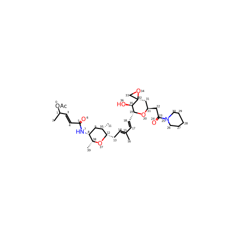 CC(=O)OC(C)C=CC(=O)N[C@@H]1C[C@H](C)[C@H](CC=C(C)C=C[C@H]2O[C@H](CC(=O)N3CCCCC3)C[C@@]3(CO3)[C@@H]2O)O[C@@H]1C